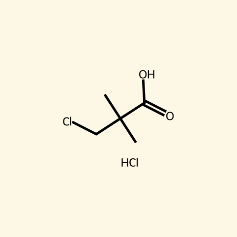 CC(C)(CCl)C(=O)O.Cl